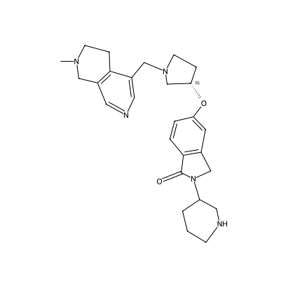 CN1CCc2c(cncc2CN2CC[C@H](Oc3ccc4c(c3)CN(C3CCCNC3)C4=O)C2)C1